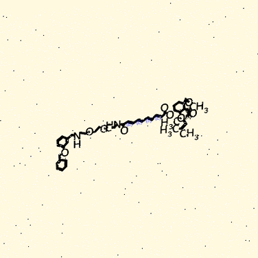 COC1C(OC(=O)/C=C/C=C/C=C/C=C/C(=O)NCCOCCOCCNCc2cccc(OCc3ccccc3)c2)CCC2(CO2)C1[C@@]1(C)O[C@@H]1CC=C(C)C